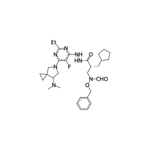 CCc1nc(NNC(=O)[C@H](CC2CCCC2)CN(C=O)OCc2ccccc2)c(F)c(N2CC(N(C)C)C3(CC3)C2)n1